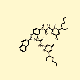 C=C1C=C(C(CC)CCCC)NC(NC(=O)Nc2cc(NC(=O)Nc3nc(=O)cc(C(CC)CCCC)[nH]3)ccc2/N=N/c2ccc3ccccc3c2)=N1